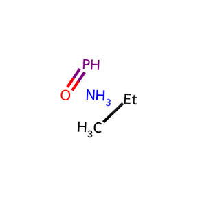 CCC.N.O=P